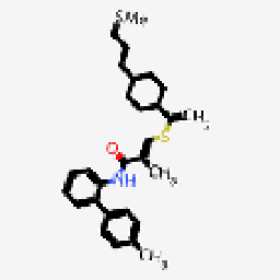 C=C(S/C=C(\C)C(=O)Nc1ccccc1-c1ccc(C)cc1)C1CCC(CCCSC)CC1